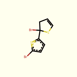 Brc1ccc(C2(Br)CC=CS2)s1